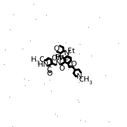 CCc1c(N(CC)C2CCOCC2)cc2oc(C3CCN(C)CC3)cc2c1C(=O)NCC1=C(OC)C=C(C)NC1=C=O